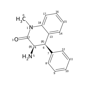 CN1C(=O)[C@H](N)[C@H](c2ccccc2)c2ccccc21